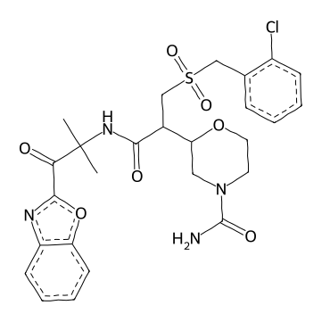 CC(C)(NC(=O)C(CS(=O)(=O)Cc1ccccc1Cl)C1CN(C(N)=O)CCO1)C(=O)c1nc2ccccc2o1